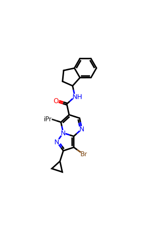 CC(C)c1c(C(=O)NC2CCc3ccccc32)cnc2c(Br)c(C3CC3)nn12